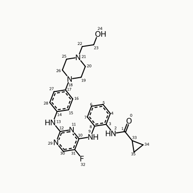 O=C(Nc1ccccc1Nc1nc(Nc2ccc(N3CCN(CCO)CC3)cc2)ncc1F)C1CC1